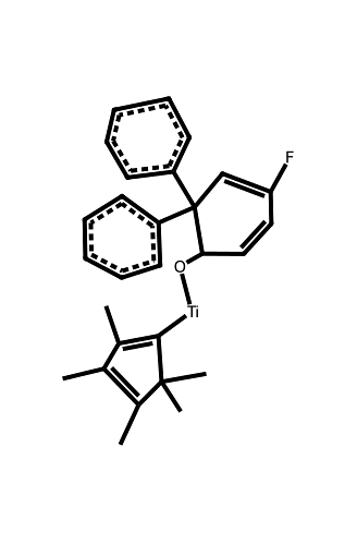 CC1=C(C)C(C)(C)[C]([Ti][O]C2C=CC(F)=CC2(c2ccccc2)c2ccccc2)=C1C